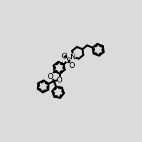 O=S(=O)(c1ccc2c(c1)OC(c1ccccc1)(c1ccccc1)O2)N1CCC(Cc2ccccc2)CC1